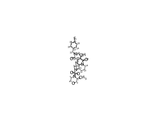 CC1COCCN1S(=O)(=O)NC1CCCn2c1nc(C(=O)NCc1ccc(F)cc1)c(O)c2=O